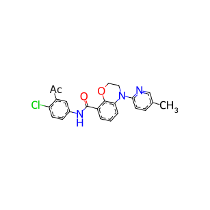 CC(=O)c1cc(NC(=O)c2cccc3c2OCCN3c2ccc(C)cn2)ccc1Cl